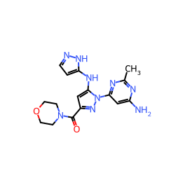 Cc1nc(N)cc(-n2nc(C(=O)N3CCOCC3)cc2Nc2ccn[nH]2)n1